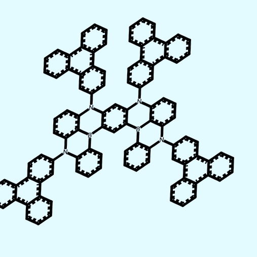 c1ccc2c(c1)B1c3cc4c(cc3N(c3ccc5c6ccccc6c6ccccc6c5c3)c3cccc(c31)N2c1ccc2c3ccccc3c3ccccc3c2c1)N(c1ccc2c3ccccc3c3ccccc3c2c1)c1cccc2c1B4c1ccccc1N2c1ccc2c3ccccc3c3ccccc3c2c1